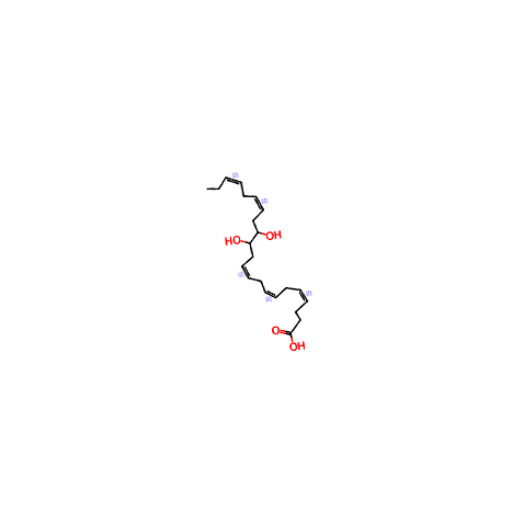 CC/C=C\C/C=C\CC(O)C(O)C/C=C\C/C=C\C/C=C\CCC(=O)O